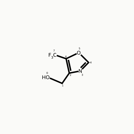 OCc1ncoc1C(F)(F)F